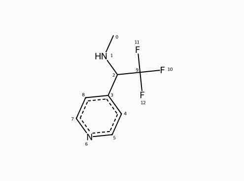 CNC(c1ccncc1)C(F)(F)F